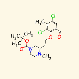 Cc1c(Cl)cc(C=O)c(OCCC2CN(C(=O)OC(C)(C)C)CCN2C)c1Cl